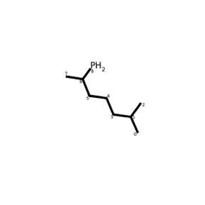 CC(C)CCCC(C)P